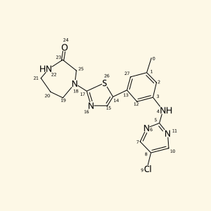 Cc1cc(Nc2ncc(Cl)cn2)cc(-c2cnc(N3CCCNC(=O)C3)s2)c1